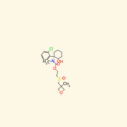 CN(C(=O)OCC[S+]([O-])CC1(C)COC1)[C@]1(c2ccccc2Cl)CCCCC1O